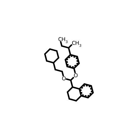 CCC(C)c1ccc(OC(OCCC2CCCCC2)C2CCCc3ccccc32)cc1